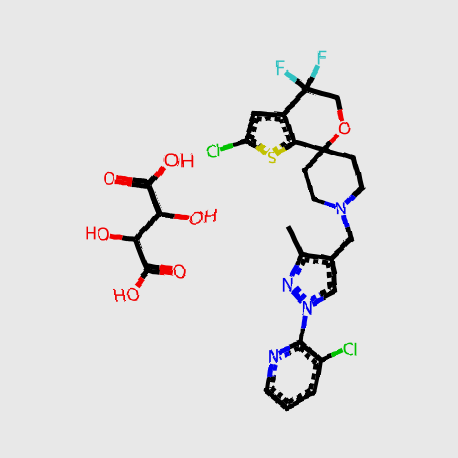 Cc1nn(-c2ncccc2Cl)cc1CN1CCC2(CC1)OCC(F)(F)c1cc(Cl)sc12.O=C(O)C(O)C(O)C(=O)O